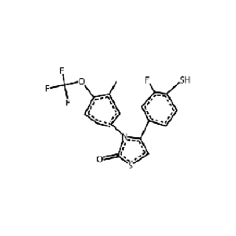 Cc1cc(-n2c(-c3ccc(S)c(F)c3)csc2=O)ccc1OC(F)(F)F